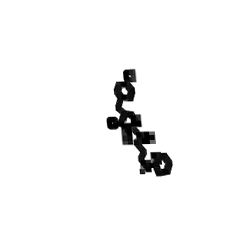 CN(CCCNc1ncc(Cc2ccc(Cl)cc2)c(=O)[nH]1)c1ccccn1